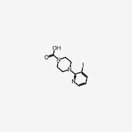 O=C(O)N1CCN(c2ncccc2I)CC1